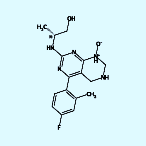 Cc1cc(F)ccc1-c1nc(N[C@H](C)CO)nc2c1CNC[NH+]2[O-]